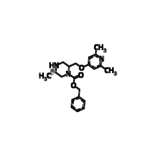 Cc1cc(OCC2CN[C@@H](C)CN2C(=O)OCc2ccccc2)cc(C)n1